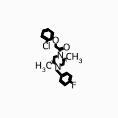 C[C@@H]1CN(C(=O)COc2ccccc2Cl)[C@@H](C)CN1Cc1ccc(F)cc1